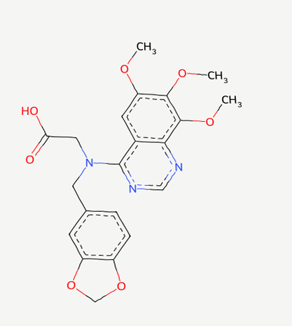 COc1cc2c(N(CC(=O)O)Cc3ccc4c(c3)OCO4)ncnc2c(OC)c1OC